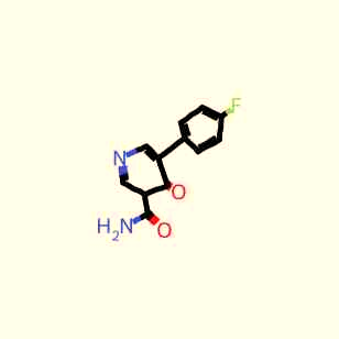 NC(=O)C1C=NC=C(c2ccc(F)cc2)C1=O